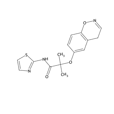 CC(C)(Oc1ccc2c(c1)CC=NO2)C(=O)Nc1nccs1